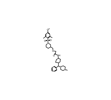 COc1cc(C)c(S(=O)(=O)N2CCCC(COCC(=O)NC3CCC(C(c4ccccc4)N4CCN(C)CC4)CC3)C2)c(C)c1